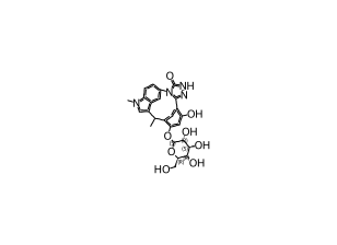 CC1c2cc(c(O)cc2O[C@@H]2O[C@H](CO)[C@H](O)[C@H](O)[C@H]2O)-c2n[nH]c(=O)n2-c2ccc3c(c2)c1cn3C